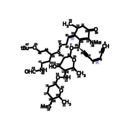 C#C/C=C\C#C[C@H](OC1CC(O)[C@H](NOC2CC[C@H](SC)C(C)O2)C(C)O1)C1=C(NC)C(=O)CC(C)/C1=C/CSSC(CCNC=O)CCOC(C)(C)C